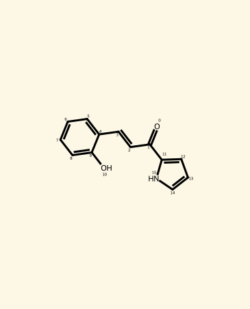 O=C(/C=C/c1ccccc1O)c1ccc[nH]1